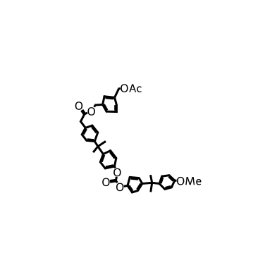 COc1ccc(C(C)(C)c2ccc(OC(=O)Oc3ccc(C(C)(C)c4ccc(CC(=O)OCc5cccc(COC(C)=O)c5)cc4)cc3)cc2)cc1